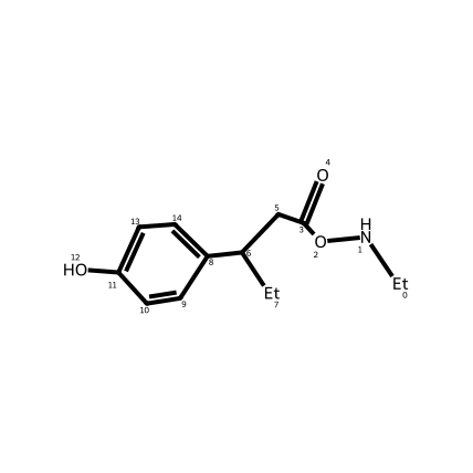 CCNOC(=O)CC(CC)c1ccc(O)cc1